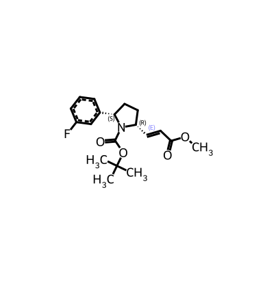 COC(=O)/C=C/[C@H]1CC[C@@H](c2cccc(F)c2)N1C(=O)OC(C)(C)C